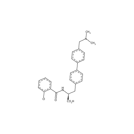 CN(C)Cc1ccc(-c2ccc(C[C@H](NC(=O)c3ccccc3Cl)C(=O)O)cc2)cc1